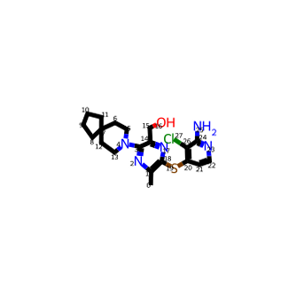 Cc1nc(N2CCC3(CCCC3)CC2)c(CO)nc1Sc1ccnc(N)c1Cl